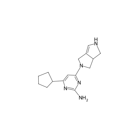 Nc1nc(C2CCCC2)cc(N2CC3=CNCC3C2)n1